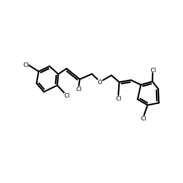 ClC(=Cc1cc(Cl)ccc1Cl)COCC(Cl)=Cc1cc(Cl)ccc1Cl